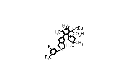 Cc1nc(C)c(C(OC(C)(C)C)C(=O)O)c(N2CCC(C)(C)CC2)c1-c1ccc2c(c1)CCN(Cc1cc(F)cc(C(F)(F)F)c1)C2